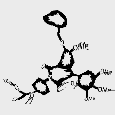 COc1cc2c(-c3cc(OC)c(OC)c(OC)c3)c(C(=O)O)n(-c3ccc(NC(=O)OC(C)(C)C)cc3)c(=O)c2cc1OCc1ccccc1